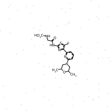 CC1CN(c2cccc(-c3nc(NC(=O)CNC(=O)O)sc3F)n2)CC(C)O1